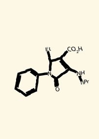 CCCNC1=C(C(=O)O)C(CC)N(c2ccccc2)C1=O